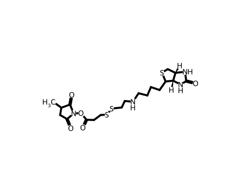 CC1CC(=O)N(OC(=O)CCSSCCNCCCCC2SC[C@@H]3NC(=O)N[C@H]23)C1=O